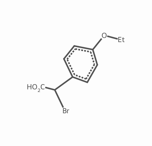 CCOc1ccc(C(Br)C(=O)O)cc1